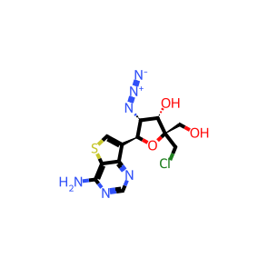 [N-]=[N+]=N[C@H]1[C@H](c2csc3c(N)ncnc23)O[C@@](CO)(CCl)[C@H]1O